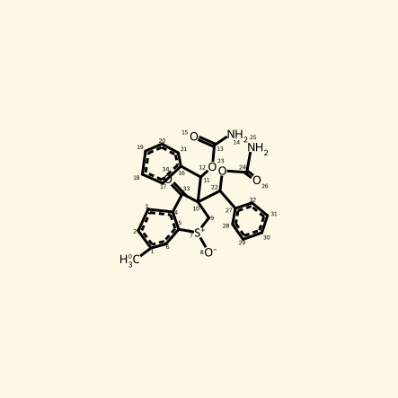 Cc1ccc2c(c1)[S+]([O-])CC(C(OC(N)=O)c1ccccc1)(C(OC(N)=O)c1ccccc1)C2=O